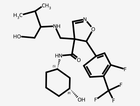 CC(C)C(CO)NCC1(C(=O)N[C@H]2CCC[C@@H](O)C2)C=NOC1c1ccc(C(F)(F)F)c(F)c1